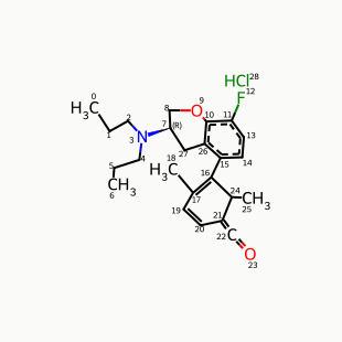 CCCN(CCC)[C@H]1COc2c(F)ccc(C3=C(C)C=CC(=C=O)C3C)c2C1.Cl